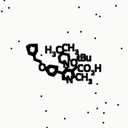 Cc1ncc(-c2ccc(OCCc3ccccc3)cc2)c(N2CCC(C)(C)CC2)c1[C@H](OC(C)(C)C)C(=O)O